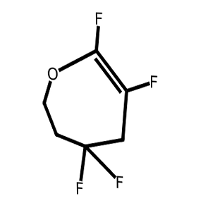 FC1=C(F)OCCC(F)(F)C1